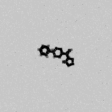 O=C(C1CCCN1)N1CCN(c2ccccn2)CC1